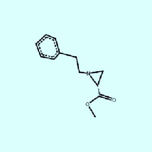 COC(=O)[C@H]1CN1CCc1ccccc1